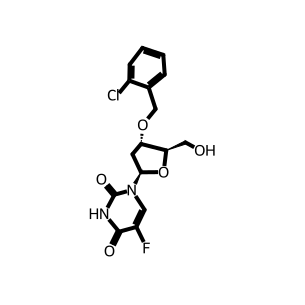 O=c1[nH]c(=O)n([C@H]2C[C@H](OCc3ccccc3Cl)[C@@H](CO)O2)cc1F